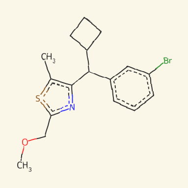 COCc1nc(C(c2cccc(Br)c2)C2CCC2)c(C)s1